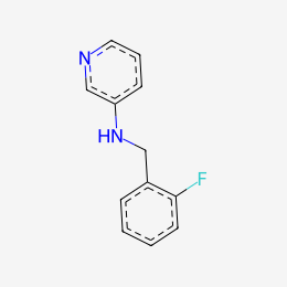 Fc1ccccc1CNc1cccnc1